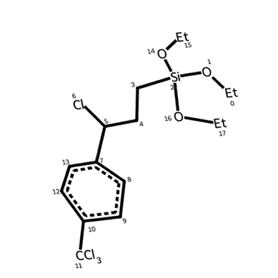 CCO[Si](CCC(Cl)c1ccc(C(Cl)(Cl)Cl)cc1)(OCC)OCC